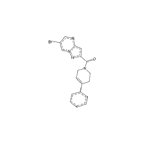 O=C(c1cc2ncc(Br)cn2n1)N1CC=C(c2ccccc2)CC1